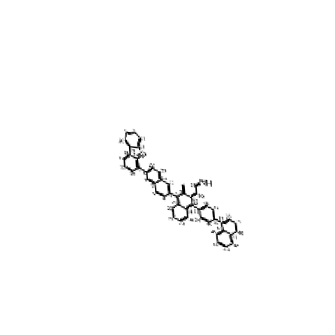 C=c1c(-c2ccc3cc(-c4cccc5c4oc4ccccc45)ccc3c2)c2ccccc2c(-c2ccc(-c3cccc4ccccc34)cc2)/c1=C/C=N